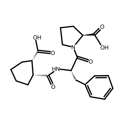 O=C(O)[C@H]1CCCC[C@H]1C(=O)N[C@@H](Cc1ccccc1)C(=O)N1CCC[C@H]1C(=O)O